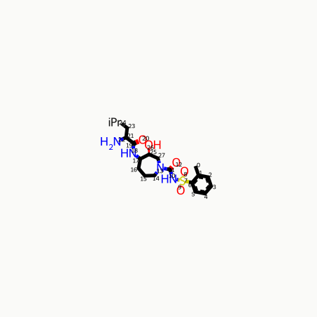 Cc1ccccc1S(=O)(=O)NC(=O)N1CCCC(NC(=O)C(N)CC(C)C)[C@@H](O)C1